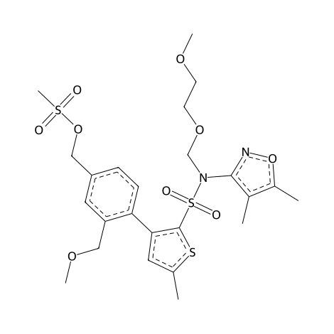 COCCOCN(c1noc(C)c1C)S(=O)(=O)c1sc(C)cc1-c1ccc(COS(C)(=O)=O)cc1COC